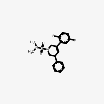 CN(C)S(=O)(=O)N1CC(c2cc(F)ccc2F)=CC(c2ccccc2)C1